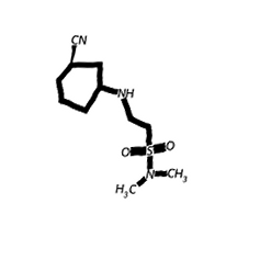 CN(C)S(=O)(=O)CCNC1CCC[C@@H](C#N)C1